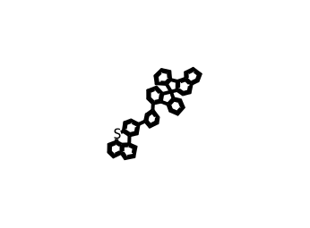 c1cc(-c2ccc3c(c2)-c2cccc4cccc(c24)S3)cc(-c2cccc3c2-c2ccccc2C32c3ccccc3-c3c2ccc2ccccc32)c1